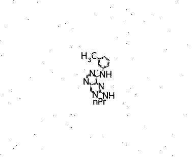 CCCNc1ncc2ncnc(Nc3cccc(C)c3)c2n1